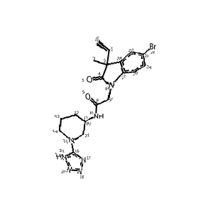 C=CC1(C)C(=O)N(CC(=O)N[C@@H]2CCCN(c3nnn[nH]3)C2)c2ccc(Br)cc21